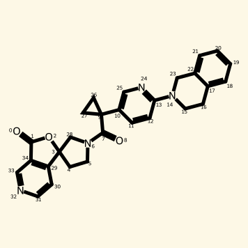 O=C1OC2(CCN(C(=O)C3(c4ccc(N5CCc6ccccc6C5)nc4)CC3)C2)c2ccncc21